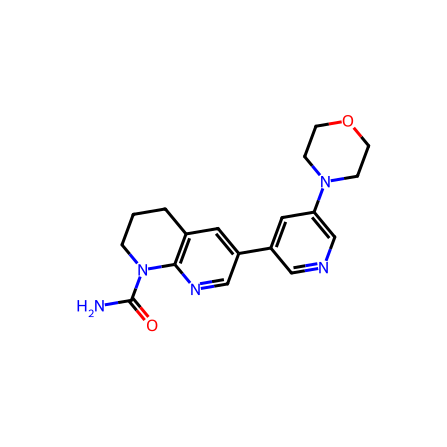 NC(=O)N1CCCc2cc(-c3cncc(N4CCOCC4)c3)cnc21